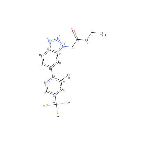 CCOC(=O)Cn1nnc2ccc(-c3ncc(C(F)(F)F)cc3Cl)cc21